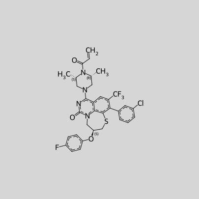 C=CC(=O)N1[C@H](C)CN(c2nc(=O)n3c4c(c(-c5cccc(Cl)c5)c(C(F)(F)F)cc24)SC[C@@H](Oc2ccc(F)cc2)C3)C[C@@H]1C